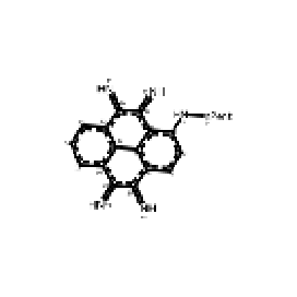 CCCCCNc1ccc2c3c1c(=N)c(=N)c1cccc(c1-3)c(=N)c2=N